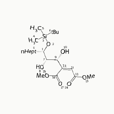 CCCCCCC[C@H](O[Si](C)(C)C(C)(C)C)[C@@H](O)[C@H](O)/C(=C/C(=O)OC)C(=O)OC